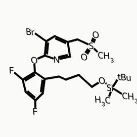 CC(C)(C)[Si](C)(C)OCCCCc1cc(F)cc(F)c1Oc1ncc(CS(C)(=O)=O)cc1Br